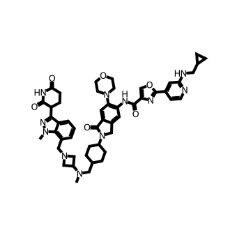 CN(CC1CCC(N2Cc3cc(NC(=O)c4coc(-c5ccnc(NCC6CC6)c5)n4)c(N4CCOCC4)cc3C2=O)CC1)C1CN(Cc2cccc3c(C4CCC(=O)NC4=O)nn(C)c23)C1